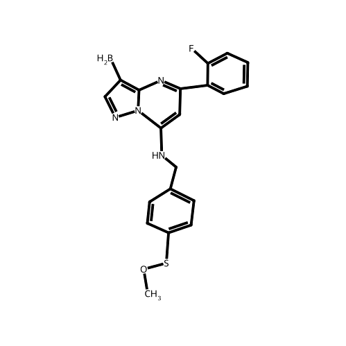 Bc1cnn2c(NCc3ccc(SOC)cc3)cc(-c3ccccc3F)nc12